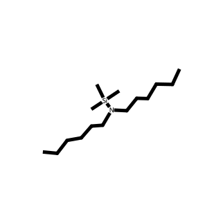 CCCCCCN(CCCCCC)[Si](C)(C)C